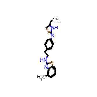 CCC1CS/C(=N\c2ccc(CCNc3nc4c(C)cccc4s3)cc2)N1